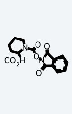 O=C(O)C1CCCCN1C(=O)ON1C(=O)c2ccccc2C1=O